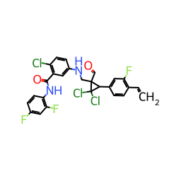 C=Cc1ccc(C2C(Cl)(Cl)C2(C=O)CNc2ccc(Cl)c(C(=O)Nc3ccc(F)cc3F)c2)cc1F